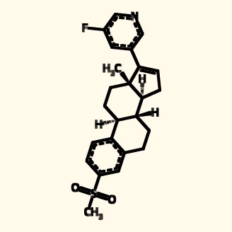 C[C@]12CC[C@@H]3c4ccc(S(C)(=O)=O)cc4CC[C@H]3[C@@H]1CC=C2c1cncc(F)c1